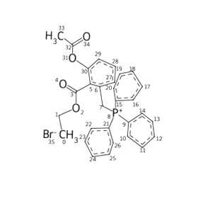 CCOC(=O)c1c(C[P+](c2ccccc2)(c2ccccc2)c2ccccc2)cccc1OC(C)=O.[Br-]